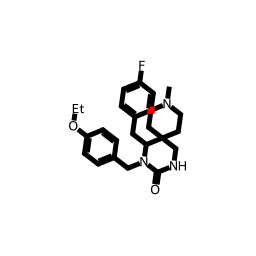 CCOc1ccc(CN2C(=O)NCC3(CCN(C)CC3)C2Cc2ccc(F)cc2)cc1